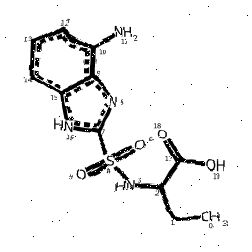 CCC(NS(=O)(=O)c1nc2c(N)cccc2[nH]1)C(=O)O